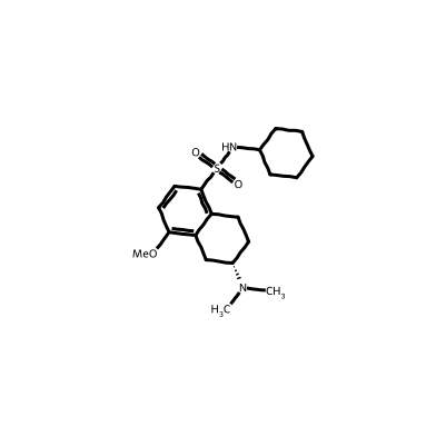 COc1ccc(S(=O)(=O)NC2CCCCC2)c2c1C[C@@H](N(C)C)CC2